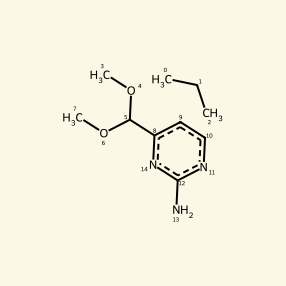 CCC.COC(OC)c1ccnc(N)n1